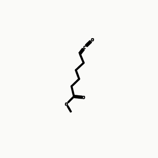 COC(=O)CCCCC=C=O